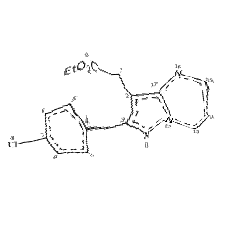 CCOC(=O)Cc1c(-c2ccc(Cl)cc2)nn2cccnc12